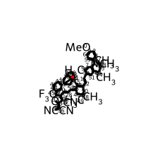 COc1ccc(N2c3cc(C)c(/C=C/C4=C(SC56CC7CC(CC(C7)C5)C6)C(=C/C=C/C5=C(C#N)C(=C(C#N)C#N)OC5(c5ccccc5)C(F)(F)F)/CC(C)(C)C4)cc3C(C)CC2(C)C)cc1